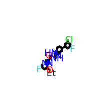 CCOc1cc(F)cn2cc(C(=O)Nc3nc4cc(-c5cc(F)cc(Cl)c5)ccc4[nH]3)nc12